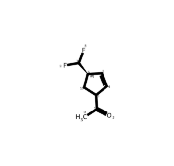 CC(=O)C1C=C[C@H](C(F)F)C1